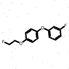 FCCOc1ccc(Oc2cccc(F)c2)cc1